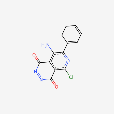 Nc1c(C2=CC=CCC2)nc(Cl)c2c1C(=O)N=NC2=O